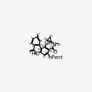 C=C(C)c1ccc(C)cc1-c1c(O)cc(CCCCC)c(C(=O)N(C)C2CC2)c1O